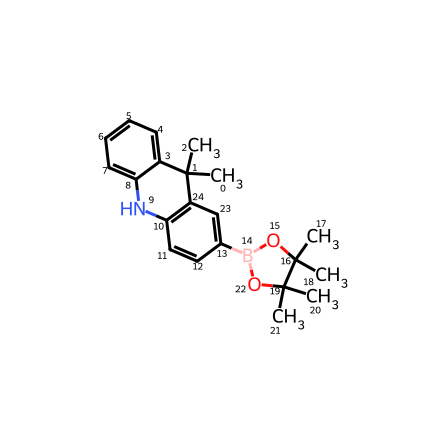 CC1(C)c2ccccc2Nc2ccc(B3OC(C)(C)C(C)(C)O3)cc21